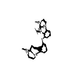 CN1C=CN2c3cccc(Sc4cccc5c4P(I)C4N(C)C=CN54)c3CC12